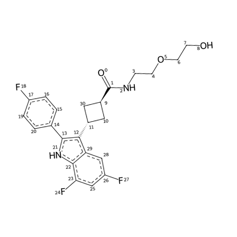 O=C(NCCOCCO)[C@H]1C[C@H](c2c(-c3ccc(F)cc3)[nH]c3c(F)cc(F)cc32)C1